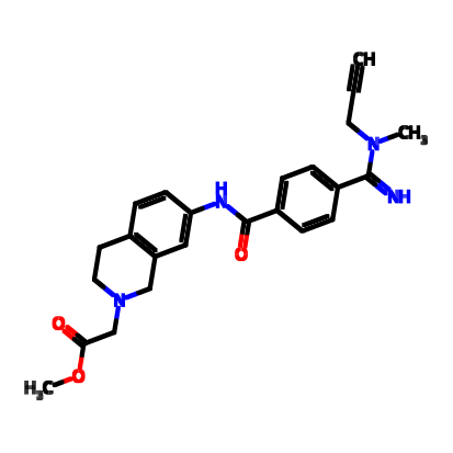 C#CCN(C)C(=N)c1ccc(C(=O)Nc2ccc3c(c2)CN(CC(=O)OC)CC3)cc1